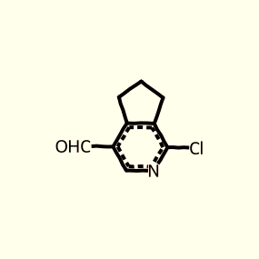 O=Cc1cnc(Cl)c2c1CCC2